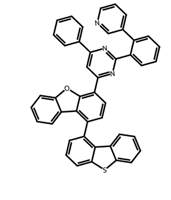 c1ccc(-c2cc(-c3ccc(-c4cccc5sc6ccccc6c45)c4c3oc3ccccc34)nc(-c3ccccc3-c3cccnc3)n2)cc1